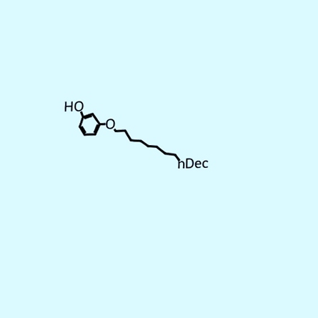 CCCCCCCCCCCCCCCCCCOc1cccc(O)c1